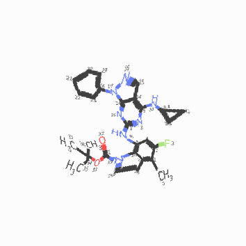 Cc1c(F)cc(Nc2nc(NC3CC3)c3cnn(-c4ccccc4)c3n2)c2c1ccn2C(=O)OC(C)(C)C